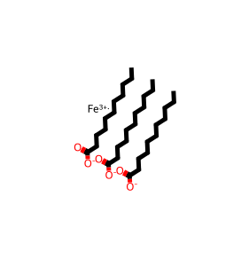 CCCCCCCCCCC(=O)[O-].CCCCCCCCCCC(=O)[O-].CCCCCCCCCCC(=O)[O-].[Fe+3]